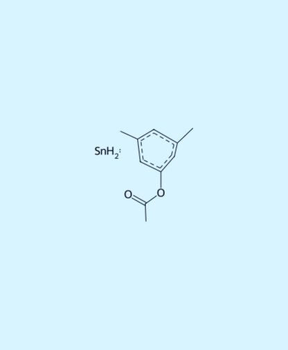 CC(=O)Oc1cc(C)cc(C)c1.[SnH2]